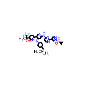 CN(C)CC1CCC(Nc2cc(Nc3ccnc(-c4cnn(S(=O)(=O)C5CC5)c4)n3)ncc2-c2ccc(C(C)(O)C(F)(F)F)cn2)CC1